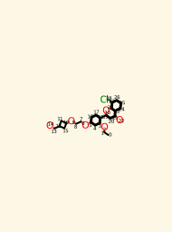 CCOc1cc(OCCOC2CC(C=O)C2)ccc1-c1cc(=O)c2cccc(Cl)c2o1